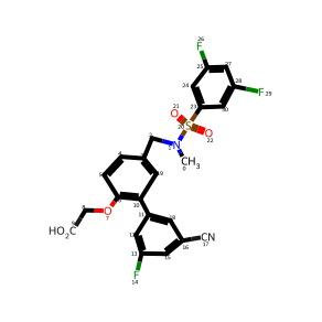 CN(Cc1ccc(OCC(=O)O)c(-c2cc(F)cc(C#N)c2)c1)S(=O)(=O)c1cc(F)cc(F)c1